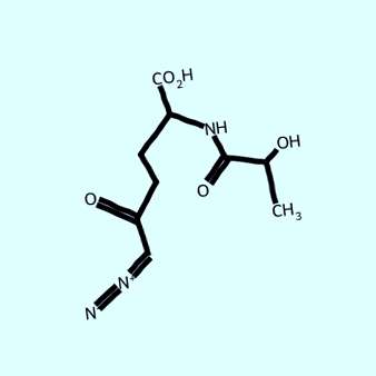 CC(O)C(=O)NC(CCC(=O)C=[N+]=[N-])C(=O)O